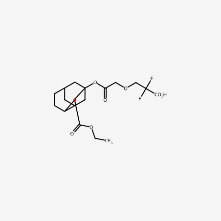 O=C(COCC(F)(F)C(=O)O)OC12CC3CCC(C(C3)C1)C(C(=O)OCC(F)(F)F)C2